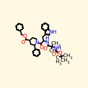 CC(C)(C)OC(=O)NC(C)(C)C(=O)NC(Cc1c[nH]c2ccccc12)C(=O)N1CCC(C(=O)OCc2ccccc2)CC1c1ccccc1